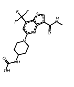 CNC(=O)c1csc2c(C(F)(F)F)cc(N3CCC(NC(=O)O)CC3)nc12